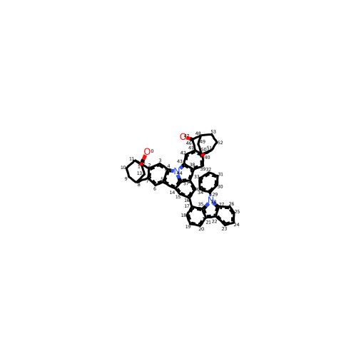 O=C1c2cc3c(cc2C2CCC1CC2)c1cc(-c2cccc4c5ccccc5n(-c5ccccc5)c24)cc2c4cc5c(cc4n3c12)C(=O)C1CCC5CC1